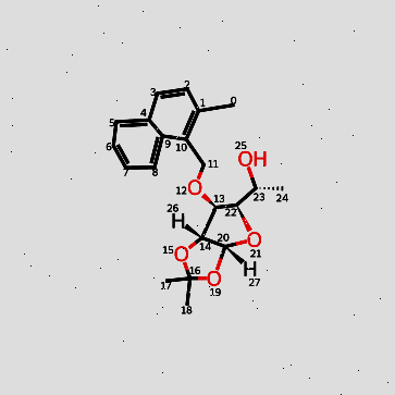 Cc1ccc2ccccc2c1CO[C@@H]1[C@H]2OC(C)(C)O[C@H]2O[C@@H]1[C@@H](C)O